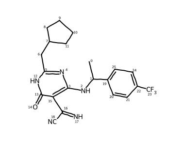 CC(Nc1nc(CC2CCCC2)[nH]c(=O)c1C(=N)C#N)c1ccc(C(F)(F)F)cc1